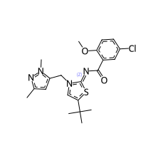 COc1ccc(Cl)cc1C(=O)/N=c1\sc(C(C)(C)C)cn1Cc1cc(C)nn1C